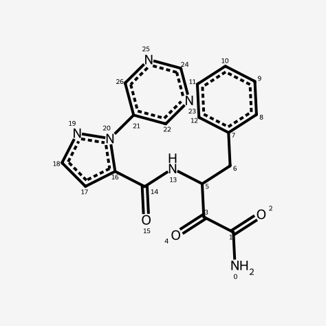 NC(=O)C(=O)C(Cc1ccccc1)NC(=O)c1ccnn1-c1cncnc1